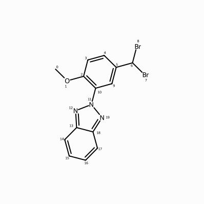 COc1ccc(C(Br)Br)cc1-n1nc2ccccc2n1